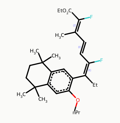 CCCOc1cc2c(cc1\C(CC)=C(F)/C=C/C(C)=C(\F)C(=O)OCC)C(C)(C)CCC2(C)C